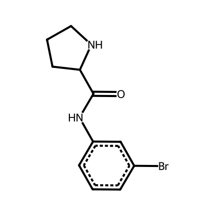 O=C(Nc1cccc(Br)c1)C1CCCN1